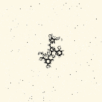 Cc1cc(C#N)cc(C(=O)NC(C)C)c1NC(=O)c1cc(Cn2nc(C(F)(F)F)c(C(F)(F)F)n2)nn1-c1ncccc1Cl